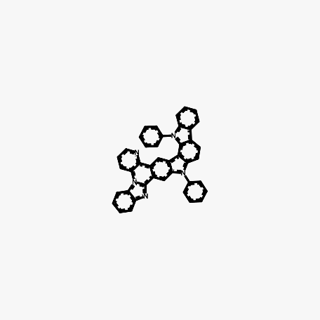 c1ccc(-n2c3cc4c(cc3c3c2ccc2c5ccccc5n(-c5ccccc5)c23)c2ncccc2n2c3ccccc3nc42)cc1